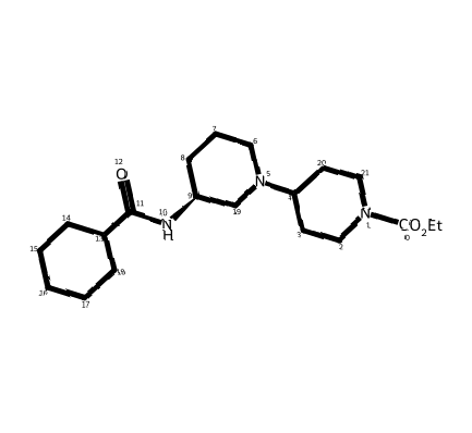 CCOC(=O)N1CCC(N2CCC[C@H](NC(=O)C3CCCCC3)C2)CC1